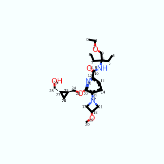 CCOCC(CC)(CC)NC(=O)c1ccc(N2CC(OC)C2)c(OC[C@H]2C[C@@H]2CO)n1